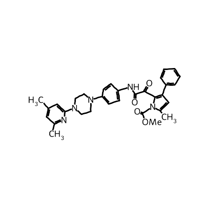 COC(=O)n1c(C)cc(-c2ccccc2)c1C(=O)C(=O)Nc1ccc(N2CCN(c3cc(C)cc(C)n3)CC2)cc1